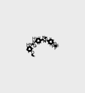 CCOc1cccc(NC(=O)Nc2ccc(-c3ncn(-c4ccc(OC(F)(F)F)cc4)n3)cc2)c1